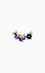 CN(Cc1ncc(-c2nnc(C(F)F)o2)s1)c1cccc(Cl)c1